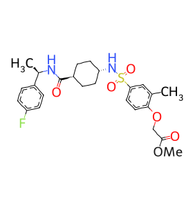 COC(=O)COc1ccc(S(=O)(=O)N[C@H]2CC[C@H](C(=O)N[C@H](C)c3ccc(F)cc3)CC2)cc1C